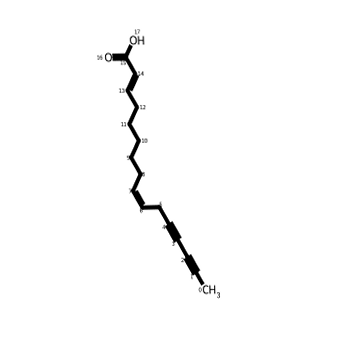 CC#CC#CC/C=C\CCCCC/C=C/C(=O)O